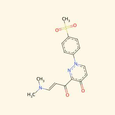 CN(C)C=CC(=O)c1nn(-c2ccc(S(C)(=O)=O)cc2)ccc1=O